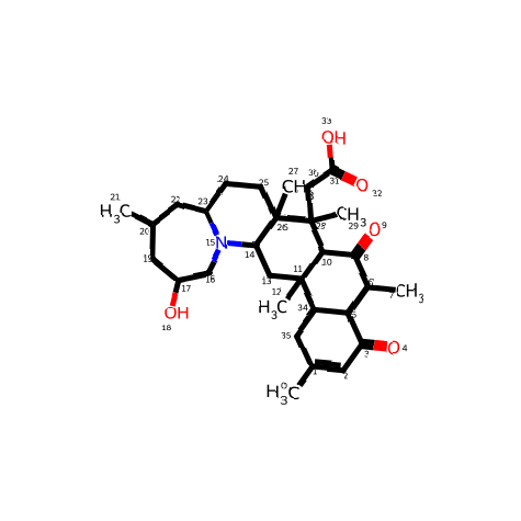 CC1=CC(=O)C2C(C)C(=O)C3C(C)(CC4N5CC(O)CC(C)CC5CCC4(C)C3(C)CC(=O)O)C2C1